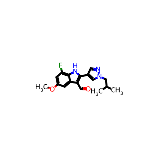 COc1cc(F)c2[nH]c(-c3cnn(CC(C)C)c3)c(C=O)c2c1